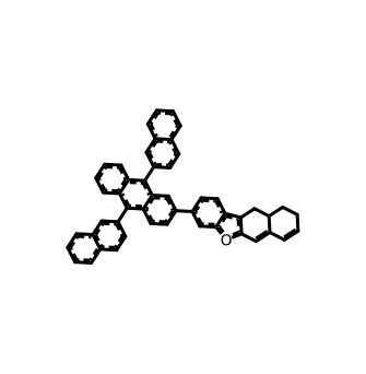 C1=CC2=Cc3oc4cc(-c5ccc6c(-c7ccc8ccccc8c7)c7ccccc7c(-c7ccc8ccccc8c7)c6c5)ccc4c3CC2CC1